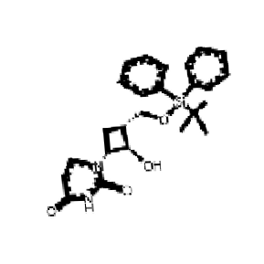 CC(C)(C)[Si](OC[C@H]1C[C@@H](n2ccc(=O)[nH]c2=O)[C@@H]1O)(c1ccccc1)c1ccccc1